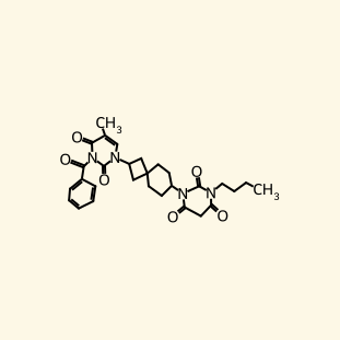 CCCCN1C(=O)CC(=O)N(C2CCC3(CC2)CC(n2cc(C)c(=O)n(C(=O)c4ccccc4)c2=O)C3)C1=O